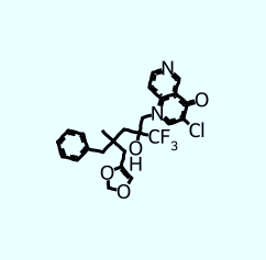 CC(CC1=COCO1)(Cc1ccccc1)CC(O)(Cn1cc(Cl)c(=O)c2cnccc21)C(F)(F)F